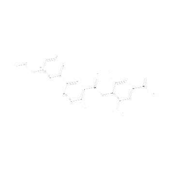 COC(=O)c1cc(C)c(NC(=O)c2cc(-c3cccc(CCO)c3)ccc2C)c(C)c1